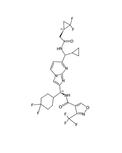 O=C(C[C@H]1CC1(F)F)NC(c1ccn2cc([C@@H](NC(=O)c3conc3C(F)(F)F)C3CCC(F)(F)CC3)nc2n1)C1CC1